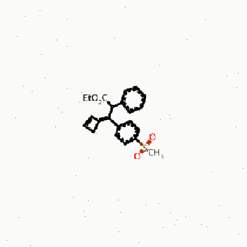 CCOC(=O)C(C(=C1C=CC1)c1ccc(S(C)(=O)=O)cc1)c1ccccc1